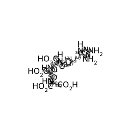 Nc1nc(N)c2c(CCCc3ccc(C(=O)N[C@@H](CCC(=O)N[C@@H](CCC(=O)N[C@@H](CCC(=O)O)C(=O)O)C(=O)O)C(=O)O)cc3)c[nH]c2n1